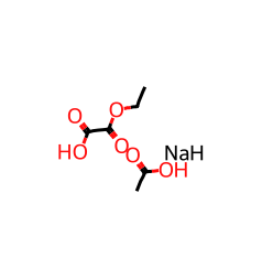 CC(=O)O.CCOC(=O)C(=O)O.[NaH]